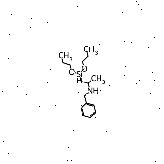 CCCO[SiH](CC(C)NCc1ccccc1)OCCC